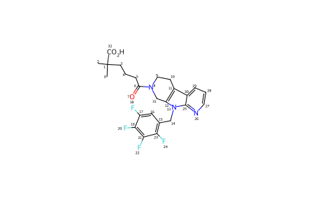 CC(C)(CCCC(=O)N1CCc2c(n(Cc3cc(F)c(F)c(F)c3F)c3ncccc23)C1)C(=O)O